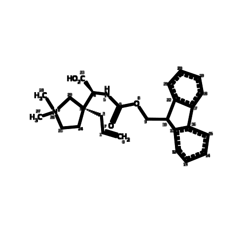 C=CC[C@]1([C@H](NC(=O)OCC2c3ccccc3-c3ccccc32)C(=O)O)CC[N+](C)(C)C1